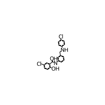 O=C(Nc1cccc(CNc2ccc(Cl)cc2)c1)c1cc(Cl)ccc1O